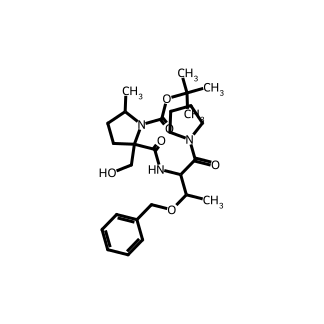 CC(OCc1ccccc1)C(NC(=O)C1(CO)CCC(C)N1C(=O)OC(C)(C)C)C(=O)N1CCCC1